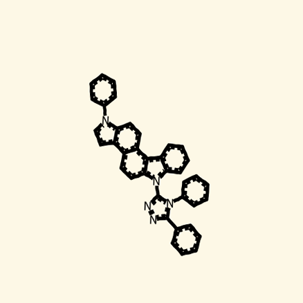 c1ccc(-c2nnc(-n3c4ccccc4c4c5ccc6c(ccn6-c6ccccc6)c5ccc43)n2-c2ccccc2)cc1